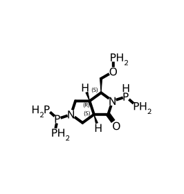 O=C1[C@@H]2CN(P(P)P)C[C@@H]2[C@@H](COP)N1PP